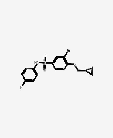 O=S(=O)(Nc1ccc(F)cc1)c1ccc(OCC2CC2)c(Br)c1